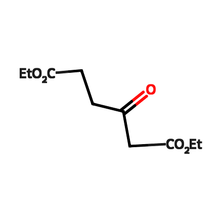 CCOC(=O)CCC(=O)CC(=O)OCC